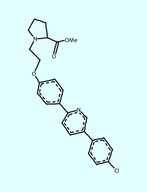 COC(=O)C1CCCN1CCOc1ccc(-c2ccc(-c3ccc(Cl)cc3)cn2)cc1